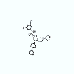 O=C(NCC(c1ccc(-c2cccnc2)cc1)C1CCN(C2CCOCC2)CC1)Nc1cc(Cl)cc(Cl)c1